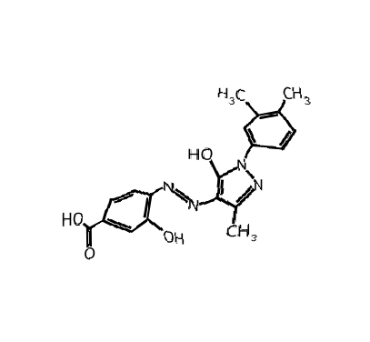 Cc1ccc(-n2nc(C)c(N=Nc3ccc(C(=O)O)cc3O)c2O)cc1C